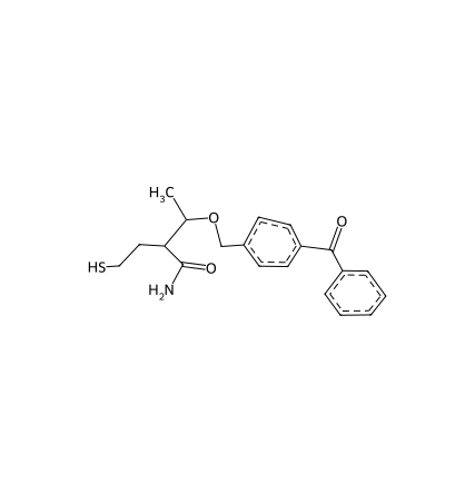 CC(OCc1ccc(C(=O)c2ccccc2)cc1)C(CCS)C(N)=O